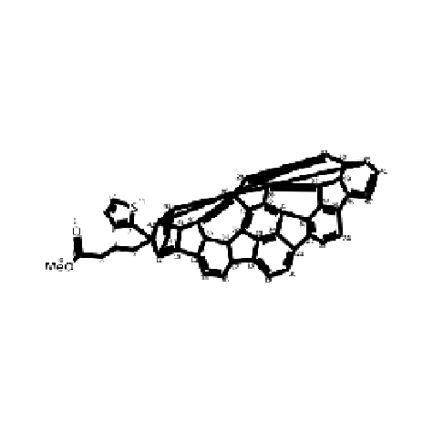 COC(=O)CCCC1(c2cccs2)C2=C3C4=C=CC5c6ccc7c8ccc9c%10c%11c%12c%13c%14c%15c(c6c7c(c%12%15)c%108)C5C4C=%14C3C13C(=C2)C1C=C=C9C%11C1C=%133